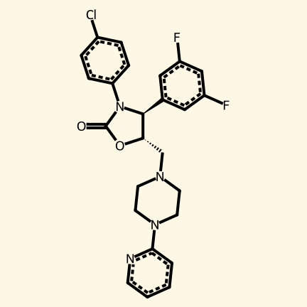 O=C1O[C@@H](CN2CCN(c3ccccn3)CC2)[C@H](c2cc(F)cc(F)c2)N1c1ccc(Cl)cc1